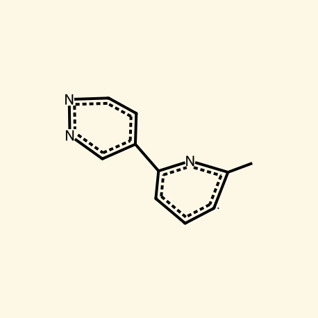 Cc1[c]ccc(-c2ccnnc2)n1